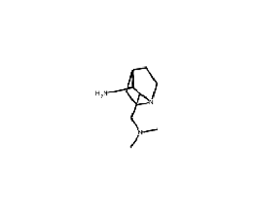 CN(C)CC1C(N)C2CCN1CC2